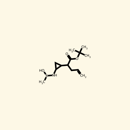 C=CCC(C(=O)OC(C)(C)C)C1CC1NB(C)O